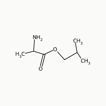 CC(C)COC(=O)C(C)N